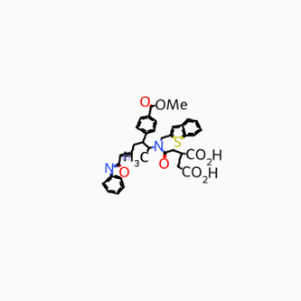 COC(=O)c1ccc(C(C/C=C/c2nc3ccccc3o2)C(C)N(Cc2cc3ccccc3s2)C(=O)CC(CC(=O)O)C(=O)O)cc1